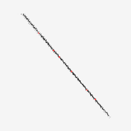 OCCCOCCCOCCCOCCCOCCCOCCCOCCCOCCCOCCCOCCCOCCCOCCCOCCCOCCCOCCCOCCCOCCCOCCCOCCCOCCCOCCCOCCCOCCCOCCCOCCCOCCCOCCCOCCCOCCCOCCCOCCCOCCCOCCCOCCCOCCCO